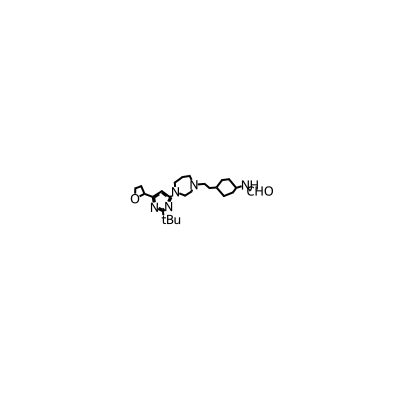 CC(C)(C)c1nc(C2CCO2)cc(N2CCCN(CCC3CCC(NC=O)CC3)CC2)n1